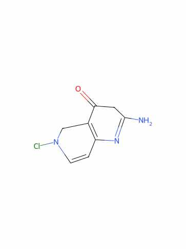 NC1=NC2=C(CN(Cl)C=C2)C(=O)C1